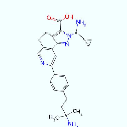 CC(C)(N)CCc1ccc(-c2cc3c(cn2)CCc2c-3nn(C(N)C3CC3)c2C(=O)O)cc1